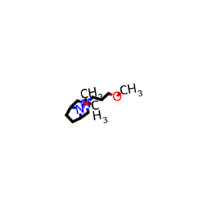 COCCCN1CC2CCC(C1)N2C(C)C